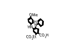 CCOC(=O)c1cc(Nc2ccc(OC)cc2)c(Nc2ccccc2)cc1C(=O)O